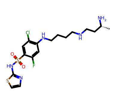 C[C@@H](N)CCNCCCCNc1cc(F)c(S(=O)(=O)Nc2nccs2)cc1Cl